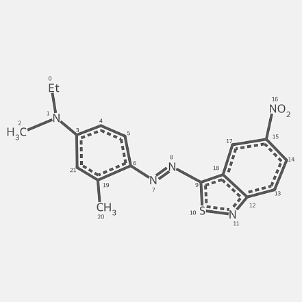 CCN(C)c1ccc(N=Nc2snc3ccc([N+](=O)[O-])cc23)c(C)c1